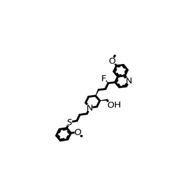 COc1ccc2nccc([C@@H](F)CC[C@@H]3CCN(CCCSc4ccccc4OC)C[C@@H]3CO)c2c1